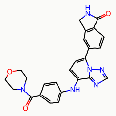 O=C1NCc2cc(-c3ccc(Nc4ccc(C(=O)N5CCOCC5)cc4)c4ncnn34)ccc21